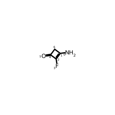 NC1=C(F)C(=O)C1